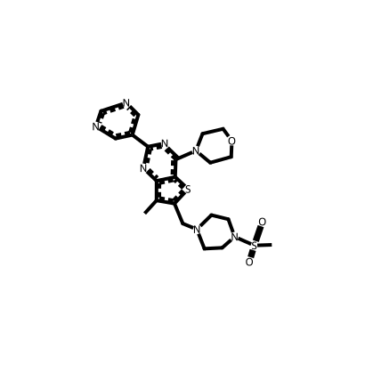 Cc1c(CN2CCN(S(C)(=O)=O)CC2)sc2c(N3CCOCC3)nc(-c3cncnc3)nc12